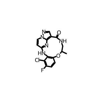 CC1CNC(=O)c2cnn3ccc(nc23)Nc2c(ccc(F)c2Cl)O1